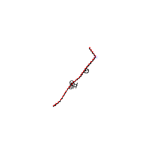 CCCCCCCC/C=C\CCCCCCCCCCCC(=O)CCCCCCCCCCCCCCC(=O)NC[C@@H](O)CCCCCCCCCCCCCCCCCC